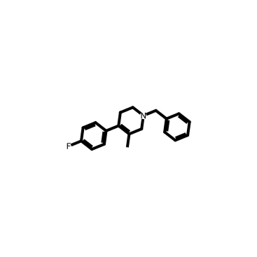 CC1=C(c2ccc(F)cc2)CCN(Cc2ccccc2)C1